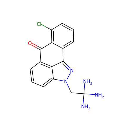 NC(N)(N)Cn1nc2c3c(cccc31)C(=O)c1c(Cl)cccc1-2